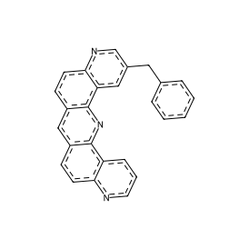 c1ccc(Cc2cnc3ccc4cc5ccc6ncccc6c5nc4c3c2)cc1